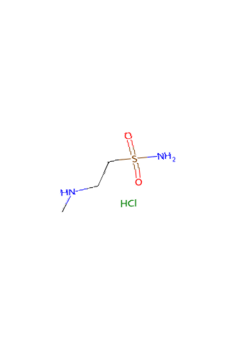 CNCCS(N)(=O)=O.Cl